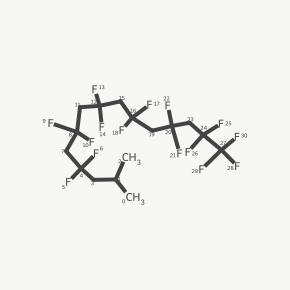 CC(C)CC(F)(F)CC(F)(F)CC(F)(F)CC(F)(F)CC(F)(F)CC(F)(F)C(F)(F)F